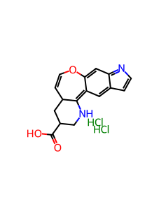 Cl.Cl.O=C(O)C1CNC2=c3cc4c(cc3OC=CC2C1)=NC=C4